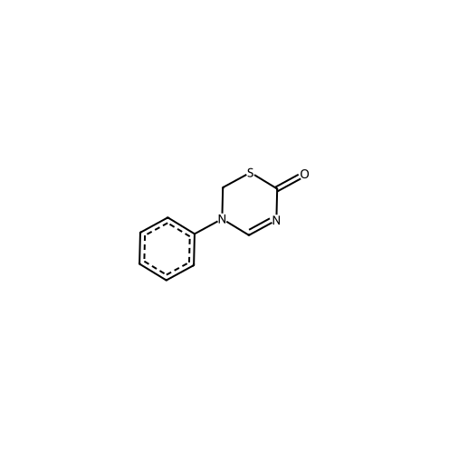 O=C1N=CN(c2ccccc2)CS1